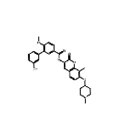 COc1ccc(C(=O)Nc2cc3ccc(OC4CCN(C)CC4)c(C)c3oc2=O)cc1-c1cccc(O)c1